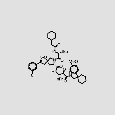 CCC[C@H](NC(=O)[C@@H]1C[C@]2(CC(c3cccc(Cl)c3)=NO2)CN1C(=O)[C@@H](NC(=O)CC1CCCCC1)C(C)(C)C)C(=O)C(=O)NCC1(c2ccc(OC)cc2)CCCCC1